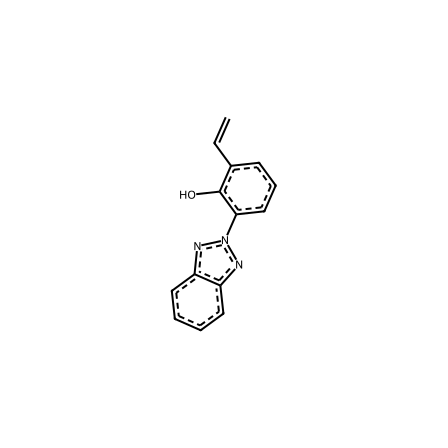 C=Cc1cccc(-n2nc3ccccc3n2)c1O